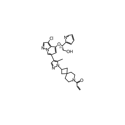 C=CC(=O)N1CCC2(CC1)CC(n1ncc(-c3cc(O[C@H](CO)c4ccccn4)c4c(Cl)cnn4c3)c1C)C2